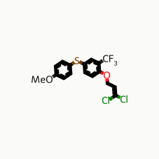 COc1ccc(Sc2ccc(OCC=C(Cl)Cl)c(C(F)(F)F)c2)cc1